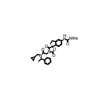 CNC(=O)Nc1ccc2c(c1)CC[C@@]21OC(=O)N(CC(=O)N(CC2CC2)C(C)c2ccccc2)C1=O